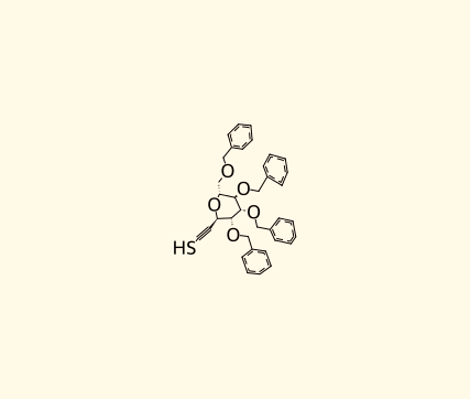 SC#C[C@H]1O[C@H](COCc2ccccc2)[C@@H](OCc2ccccc2)[C@H](OCc2ccccc2)[C@@H]1OCc1ccccc1